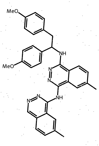 COc1ccc(CC(Nc2nnc(Nc3nncc4ccc(C)cc34)c3cc(C)ccc23)c2ccc(OC)cc2)cc1